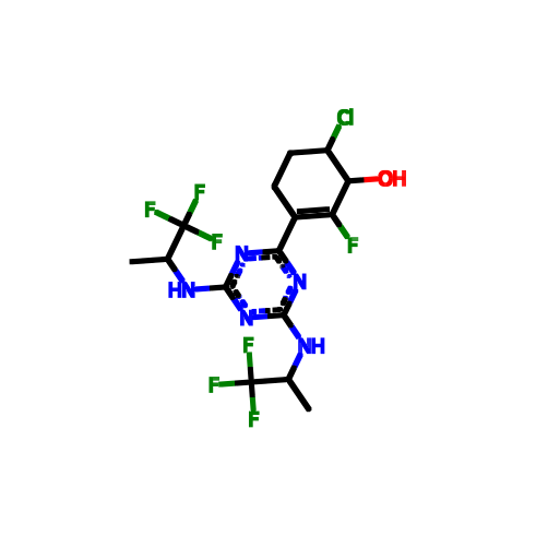 CC(Nc1nc(NC(C)C(F)(F)F)nc(C2=C(F)C(O)C(Cl)CC2)n1)C(F)(F)F